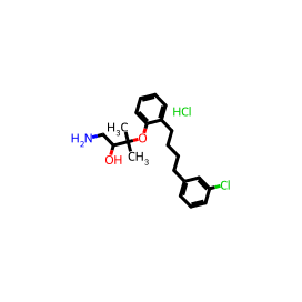 CC(C)(Oc1ccccc1CCCCc1cccc(Cl)c1)C(O)CN.Cl